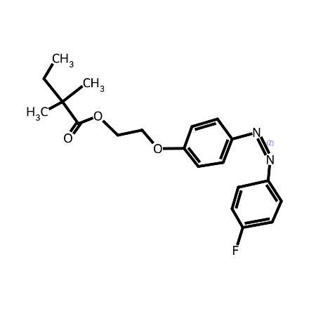 CCC(C)(C)C(=O)OCCOc1ccc(/N=N\c2ccc(F)cc2)cc1